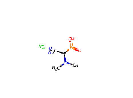 CC(N(C)C)[PH](=O)O.Cl.N